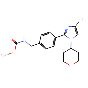 CC(C)(C)OC(=O)NCc1ccc(-c2nc(C(F)(F)F)cn2C2CCOCC2)cc1